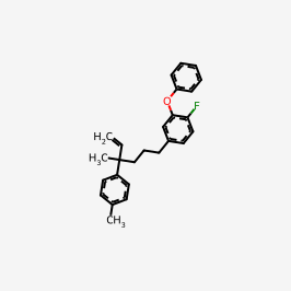 C=CC(C)(CCCc1ccc(F)c(Oc2ccccc2)c1)c1ccc(C)cc1